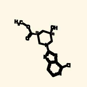 COC(=O)[C@@H]1C[C@@H](O)CN(c2nc3ccnc(Cl)c3s2)C1